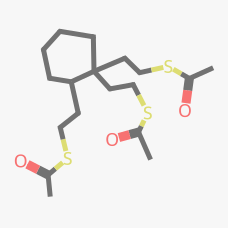 CC(=O)SCCC1CCCCC1(CCSC(C)=O)CCSC(C)=O